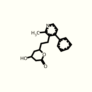 Cc1nccc(-c2ccccc2)c1CCC1CC(O)CC(=O)O1